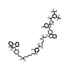 CN(CCN1CCC(N(C(=O)O)c2ccccc2-c2ccccc2)CC1)C(=O)CCCCCNc1ccc(C(=O)N(C)CCCN(C)C(=O)CO[C@H]2Cc3ccccc3C23CCN(CC[C@@]2(c4ccc(F)cc4)CN(C(=O)c4cc(C(F)(F)F)cc(C(F)(F)F)c4)CO2)CC3)cc1F